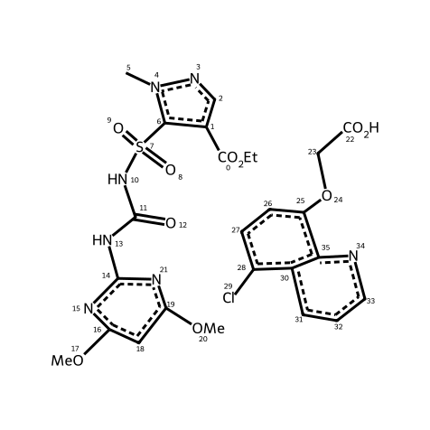 CCOC(=O)c1cnn(C)c1S(=O)(=O)NC(=O)Nc1nc(OC)cc(OC)n1.O=C(O)COc1ccc(Cl)c2cccnc12